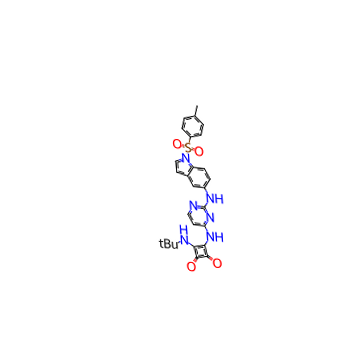 Cc1ccc(S(=O)(=O)n2ccc3cc(Nc4nccc(Nc5c(NC(C)(C)C)c(=O)c5=O)n4)ccc32)cc1